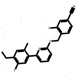 CCc1cc(C)c(-c2cccc(OCc3ccc(C#N)cc3F)n2)cc1F